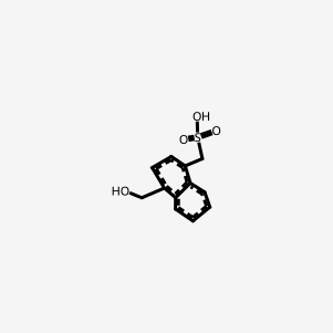 O=S(=O)(O)Cc1ccc(CO)c2ccccc12